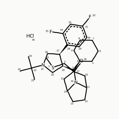 CSCC1(C2CCCCC2)CC2CCC(C1)N2C(=O)[C@H]1CN(C(C)(C)C)C[C@H]1c1ccc(F)cc1F.Cl